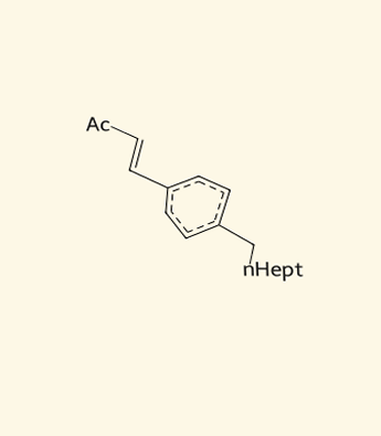 CCCCCCCCc1ccc(C=CC(C)=O)cc1